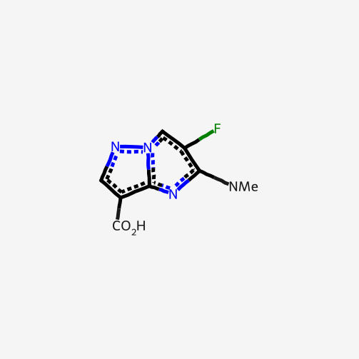 CNc1nc2c(C(=O)O)cnn2cc1F